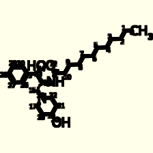 CCCCCCCCCCCC(=O)N[C@H](CN1CCC(O)CC1)[C@@H](O)c1ccccc1